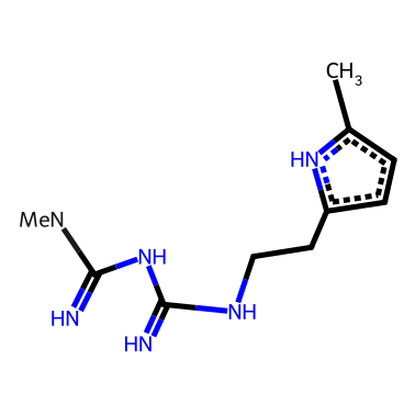 CNC(=N)NC(=N)NCCc1ccc(C)[nH]1